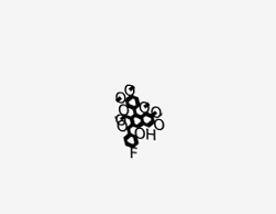 COC(=O)c1c(C(=O)c2ccc(F)cc2)c(O)c2cc(OC)c(OC)c(OC)c2c1-c1ccc(OC)c(OC)c1